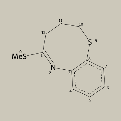 CSC1=Nc2ccccc2SCCC1